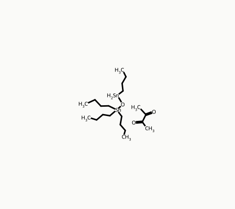 CC(=O)C(C)=O.CCC[CH2][SnH2][O][Sn]([CH2]CCC)([CH2]CCC)[CH2]CCC